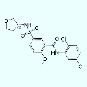 COc1ccc(S(=O)(=O)N[C@H]2CCOC2)cc1C(=O)Nc1cc(Cl)ccc1Cl